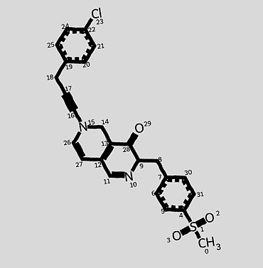 CS(=O)(=O)c1ccc(CC2N=CC3=C(CN(C#CCc4ccc(Cl)cc4)C=C3)C2=O)cc1